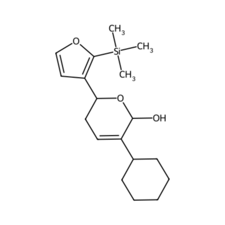 C[Si](C)(C)c1occc1C1CC=C(C2CCCCC2)C(O)O1